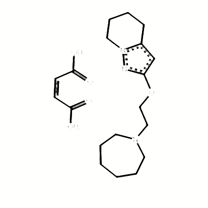 O=C(O)/C=C\C(=O)O.c1c(OCCN2CCCCCC2)nn2c1CCCC2